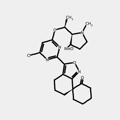 COC1CCN(C)[C@@H]1[C@H](C)Oc1cc(Cl)nc(-c2onc3c2CCC[C@@]32CCCCC2=O)n1